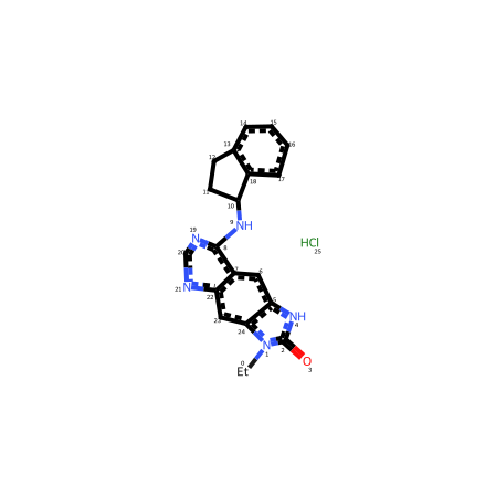 CCn1c(=O)[nH]c2cc3c(NC4CCc5ccccc54)ncnc3cc21.Cl